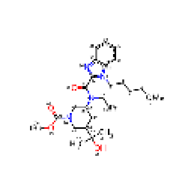 COCCCCn1c(C(=O)N(CC(C)C)[C@H]2CC(C(C)(C)O)CN(C(=O)OC(C)(C)C)C2)nc2ccccc21